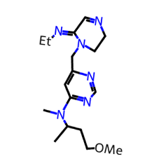 CC/N=C1/C=NCCN1Cc1cc(N(C)C(C)CCOC)ncn1